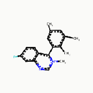 Cc1cc(C)c(C)c(-c2c3ccc(F)cc3nc[n+]2C)c1